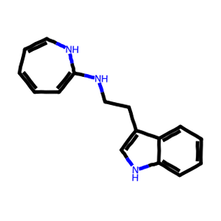 C1=CC=C(NCCc2c[nH]c3ccccc23)NC=C1